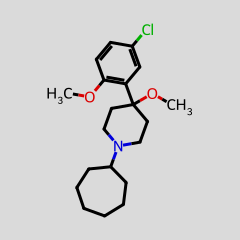 COc1ccc(Cl)cc1C1(OC)CCN(C2CCCCCC2)CC1